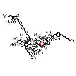 CCCCCCCc1ccc(CC(NC(=O)[C@H](C)[C@@H](OC)[C@@H]2CCCN2C(=O)C[C@@H](OC)[C@H](C(C)CC)N(C)C(=O)[C@@H](NC(=O)[C@H](C(C)C)N(C)C(=O)OC(Cc2cn(CCOCCOCCOCCN3C(=O)C4C(CCC)C4(CC)C3=O)nn2)c2ccc(O[C@@H]3O[C@H](CO)[C@H](O)[C@H](O)[C@H]3O)c3cc(CCCC(=O)O)oc23)C(C)C)C(=O)O)cc1